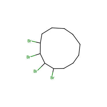 BrC1CCCCCCCCC(Br)C(Br)C1Br